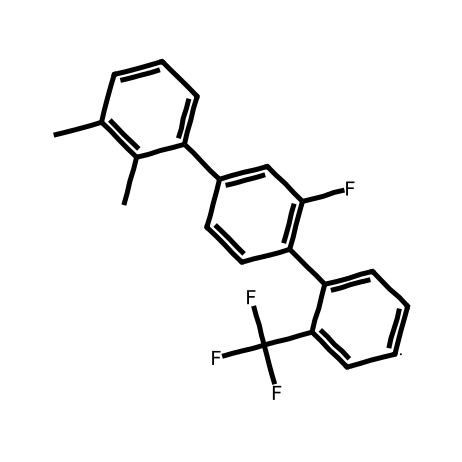 Cc1cccc(-c2ccc(-c3cc[c]cc3C(F)(F)F)c(F)c2)c1C